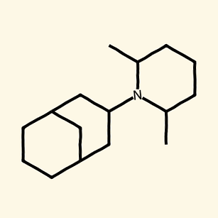 CC1CCCC(C)N1C1CC2CCCC(C2)C1